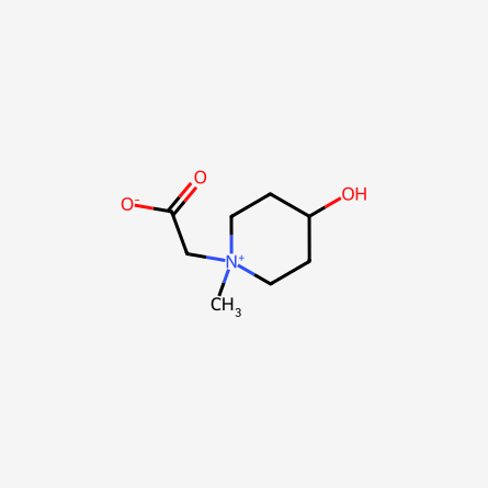 C[N+]1(CC(=O)[O-])CCC(O)CC1